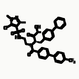 Cc1nn(C)c(Cl)c1S(=O)(=O)NCCN(C(=O)c1ccc(-c2ccc(C(F)(F)F)cc2)cc1)[C@@H](Cc1ccc(-c2ccccc2)cc1)C(=O)C(C)O